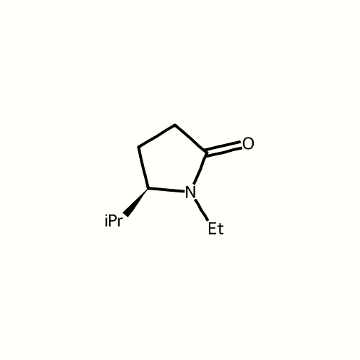 CCN1C(=O)CC[C@@H]1C(C)C